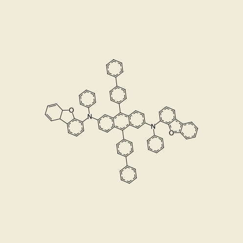 C1=CC2Oc3c(cccc3N(c3ccccc3)c3ccc4c(-c5ccc(-c6ccccc6)cc5)c5cc(N(c6ccccc6)c6cccc7c6oc6ccccc67)ccc5c(-c5ccc(-c6ccccc6)cc5)c4c3)C2C=C1